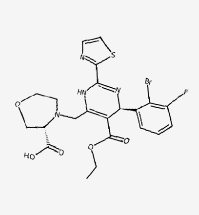 CCOC(=O)C1=C(CN2CCOC[C@H]2C(=O)O)NC(c2nccs2)=N[C@H]1c1cccc(F)c1Br